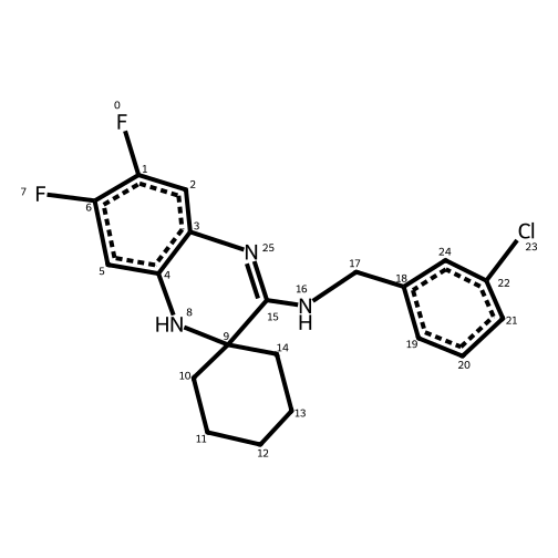 Fc1cc2c(cc1F)NC1(CCCCC1)C(NCc1cccc(Cl)c1)=N2